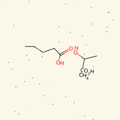 C.CC(O)C(=O)O.CCCCC(=O)O